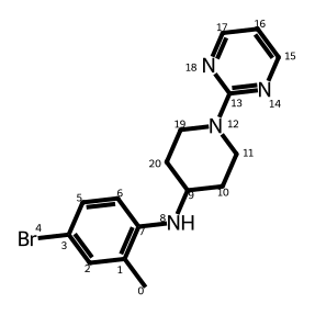 Cc1cc(Br)ccc1NC1CCN(c2ncccn2)CC1